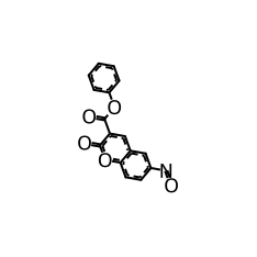 O=Nc1ccc2oc(=O)c(C(=O)Oc3ccccc3)cc2c1